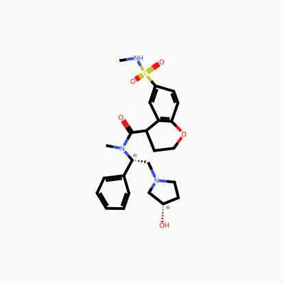 CNS(=O)(=O)c1ccc2c(c1)C(C(=O)N(C)[C@H](CN1CC[C@H](O)C1)c1ccccc1)CCO2